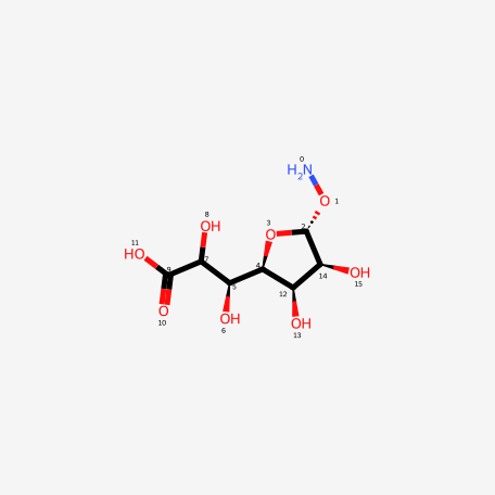 NO[C@H]1O[C@H]([C@@H](O)C(O)C(=O)O)[C@H](O)[C@@H]1O